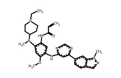 C=CC(=O)Nc1cc(Nc2cc(-c3ccc4cnn(C)c4c3)ncn2)c(OC)cc1N(C)C1CCN(CC)CC1